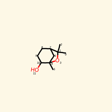 CC1(C)OC2(C)CC1CCC2O